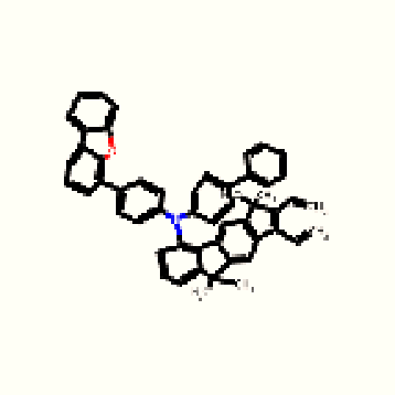 C=CC1=C(C=C)C(C)(C)c2cc3c(cc21)C(C)(C)c1cccc(N(c2ccc(-c4ccccc4)cc2)c2ccc(-c4cccc5c4oc4ccccc45)cc2)c1-3